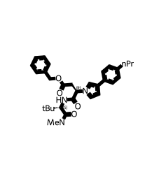 CCCc1ccc(-c2ccn([C@H](CC(=O)OCc3ccccc3)C(=O)N[C@H](C(=O)NC)C(C)(C)C)c2)cc1